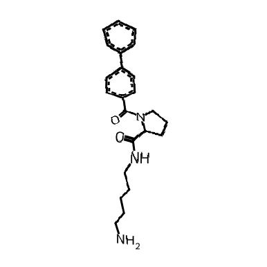 NCCCCCNC(=O)C1CCCN1C(=O)c1ccc(-c2ccccc2)cc1